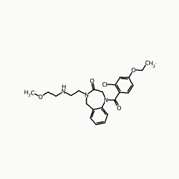 [CH2]COc1ccc(C(=O)N2CC(=O)N(CCNCCOC)Cc3ccccc32)c(Cl)c1